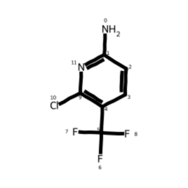 Nc1ccc(C(F)(F)F)c(Cl)n1